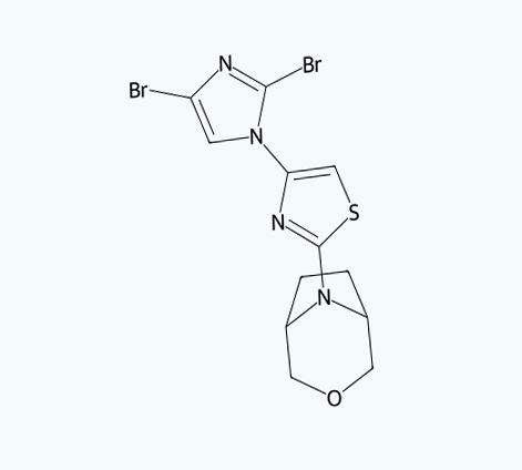 Brc1cn(-c2csc(N3C4CCC3COC4)n2)c(Br)n1